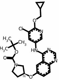 CC(C)(C)OC(=O)N1CC[C@H](Oc2ccc3ncnc(Nc4cnc(OCC5CC5)c(Cl)c4)c3c2)C1